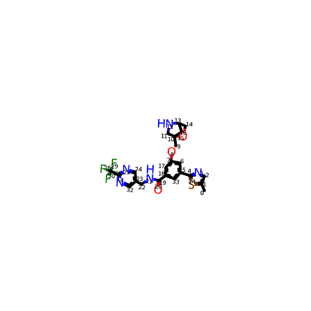 Cc1cnc(-c2cc(OCC34CNC(CO3)C4)cc(C(=O)NCc3cnc(C(F)(F)F)nc3)c2)s1